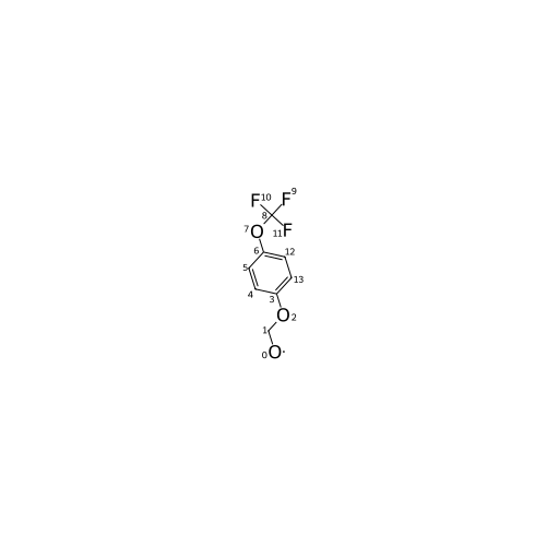 [O]COc1ccc(OC(F)(F)F)cc1